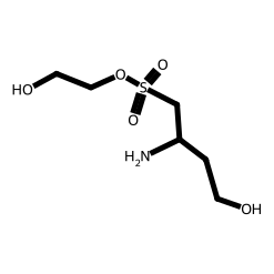 NC(CCO)CS(=O)(=O)OCCO